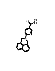 O=C(NO)c1cnc(N2Cc3cccc4cccc(c34)C2)nc1